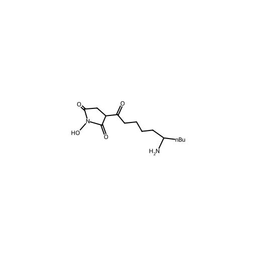 CCCCC(N)CCCCC(=O)C1CC(=O)N(O)C1=O